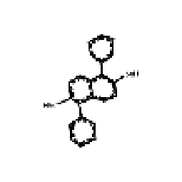 [SeH]c1ccc2c(-c3ccccc3)c([SeH])ccc2c1-c1ccccc1